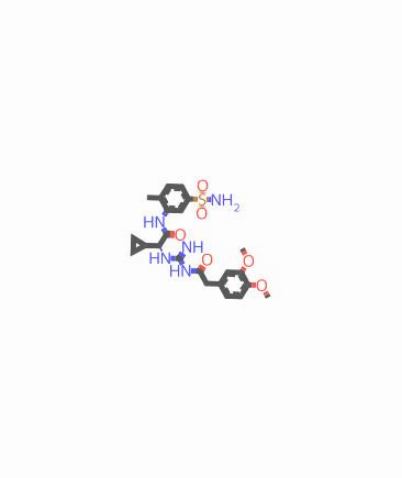 COc1ccc(CC(=O)NC(=N)N[C@@H](C(=O)Nc2cc(S(N)(=O)=O)ccc2C)C2CC2)cc1OC